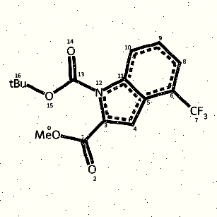 COC(=O)c1cc2c(C(F)(F)F)cccc2n1C(=O)OC(C)(C)C